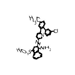 Cc1ccc(-c2cccc(Cl)c2)c(-c2ccc(/N=N/c3cc(S(=O)(=O)O)c4ccccc4c3N)cn2)c1